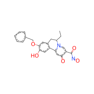 CCC1Cc2cc(OCc3ccccc3)c(O)cc2-c2cc(=O)c(C(=O)N=O)cn21